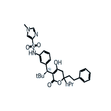 CCCC1(CCc2ccccc2)CC(O)=C([C@H](c2cccc(NS(=O)(=O)c3cn(C)cn3)c2)C(C)(C)C)C(=O)O1